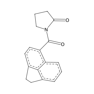 O=C1CCCN1C(=O)c1ccc2c3c(cccc13)CC2